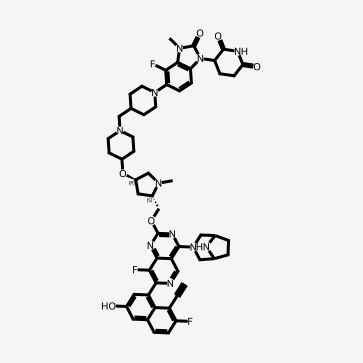 C#Cc1c(F)ccc2cc(O)cc(-c3ncc4c(N5CC6CCC(C5)N6)nc(OC[C@@H]5C[C@@H](OC6CCN(CC7CCN(c8ccc9c(c8F)n(C)c(=O)n9C8CCC(=O)NC8=O)CC7)CC6)CN5C)nc4c3F)c12